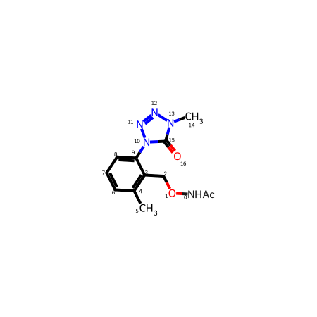 CC(=O)NOCc1c(C)cccc1-n1nnn(C)c1=O